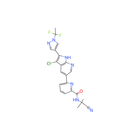 CC(C)(C#N)NC(=O)c1cccc(-c2cnc3[nH]c(-c4cnn(C(C)(F)F)c4)c(Cl)c3c2)n1